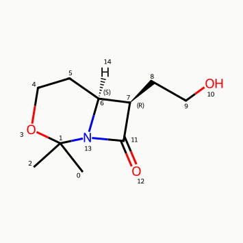 CC1(C)OCC[C@H]2[C@@H](CCO)C(=O)N21